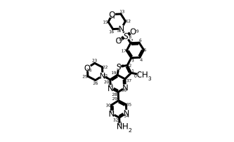 Cc1c(-c2cccc(S(=O)(=O)N3CCOCC3)c2)sc2c(N3CCOCC3)nc(-c3cnc(N)nc3)nc12